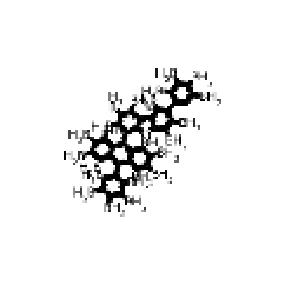 Bc1cc(-c2c(B)c(B)c3oc4c(-c5c6c(B)c(B)c(B)c(B)c6c(-c6c(B)c(B)c(B)c(B)c6B)c6c(B)c(B)c(B)c(B)c56)c(B)c(B)c(B)c4c3c2B)c(B)c(B)c1B